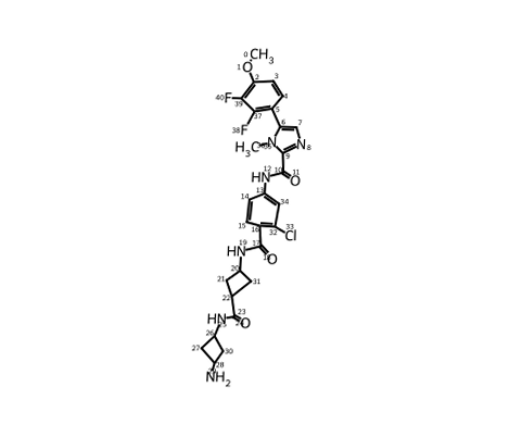 COc1ccc(-c2cnc(C(=O)Nc3ccc(C(=O)NC4CC(C(=O)NC5CC(N)C5)C4)c(Cl)c3)n2C)c(F)c1F